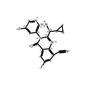 N#Cc1cc(F)cc2c(=O)n(-c3cncc(F)c3)c([C@@H](N)C3CC3)nc12